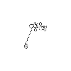 Cc1nc2cccc(CCCCCCCCN3CC4CC(C3)O4)c2c(=O)n1C1CCC(=O)NC1=O